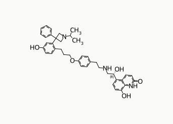 CC(C)N1CC(c2ccccc2)(c2cc(O)ccc2CCCOc2ccc(CCNC[C@H](O)c3ccc(O)c4[nH]c(=O)ccc34)cc2)C1